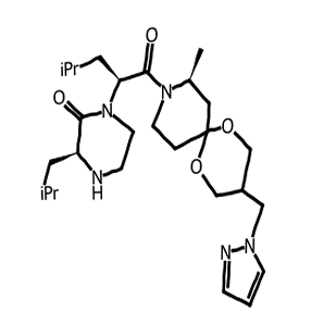 CC(C)C[C@@H]1NCCN([C@@H](CC(C)C)C(=O)N2CCC3(C[C@@H]2C)OCC(Cn2cccn2)CO3)C1=O